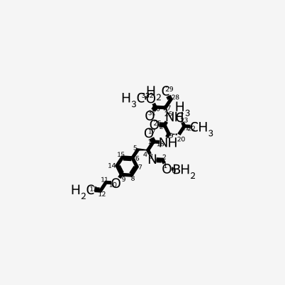 BOC=N[C@@H](Cc1ccc(OCC=C)cc1)C(=O)N[C@@H](CC(C)C)C(=O)N[C@@H](C=C)C(=O)OC